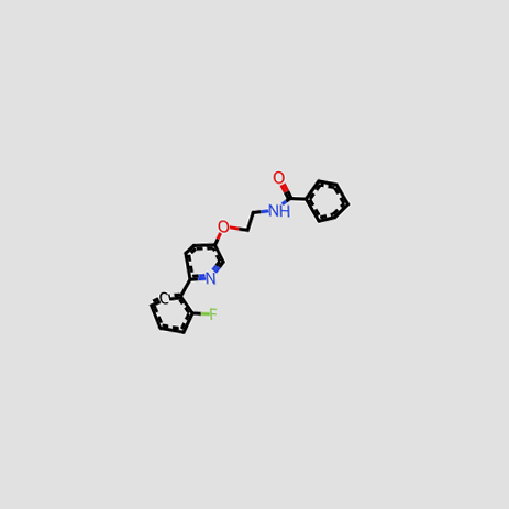 O=C(NCCOc1ccc(-c2ccccc2F)nc1)c1ccccc1